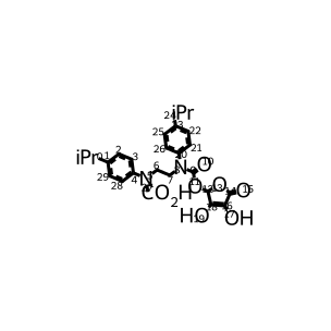 CC(C)c1ccc(N(CCN(C(=O)OC2OC(=O)C(O)=C2O)c2ccc(C(C)C)cc2)C(=O)O)cc1